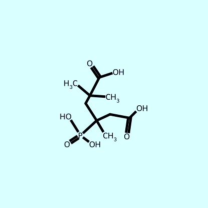 CC(C)(CC(C)(CC(=O)O)P(=O)(O)O)C(=O)O